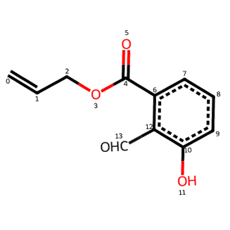 C=CCOC(=O)c1cccc(O)c1C=O